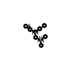 c1ccc(-c2ccc(-c3cc(-c4ccc5c(c4)sc4ccccc45)nc(-c4cccc(-c5nc(-c6ccccc6)nc(-c6ccccc6)n5)c4)n3)cc2)cc1